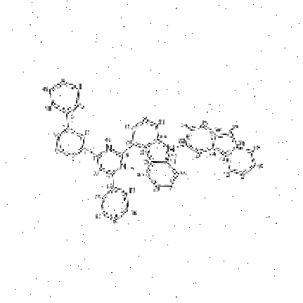 c1ccc(-c2cccc(-c3cc(-c4ccccc4)nc(-c4cccc5c4c4ccccc4n5-c4ccc5sc6ccccc6c5c4)n3)c2)cc1